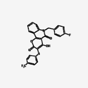 O=c1oc2c(c(O)c1Sc1ccc(C(F)(F)F)cc1)c(=O)n(Cc1ccc(F)cc1)c1ccccc21